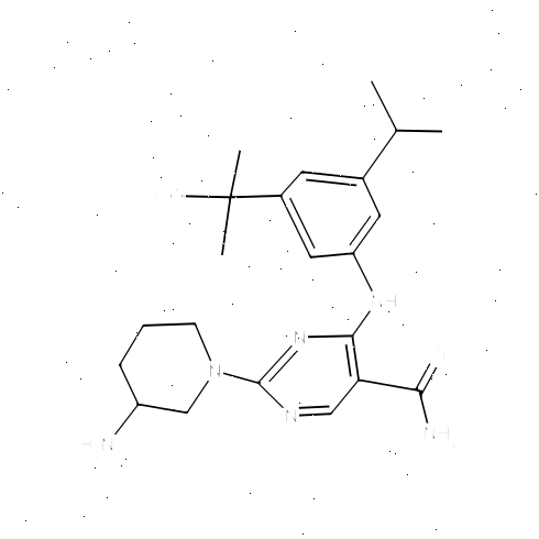 CC(C)c1cc(Nc2nc(N3CCCC(N)C3)ncc2C(N)=O)cc(C(C)(C)O)c1